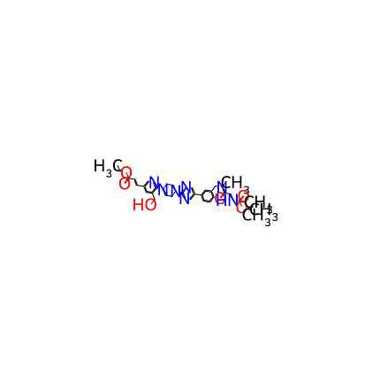 CCOC(=O)/C=C/c1cnc(N2CCN(c3ncc(-c4cccc(CN(C)C(=O)CNC(=O)OC(C)(C)C)c4)cn3)CC2)c(CO)c1